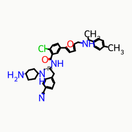 Cc1ccc(C(C)NCc2ccc(-c3ccc(Cl)c(C(=O)N[C@@H](CN[C@H]4CC[C@@H](N)CC4)Cc4ccc(C#N)cc4)c3)o2)cc1